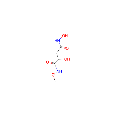 CONC(=O)C(O)CC(=O)NO